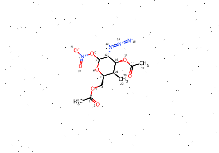 CC(=O)OC[C@H]1OC(O[N+](=O)[O-])[C@H](N=[N+]=[N-])[C@@H](OC(C)=O)[C@H]1C